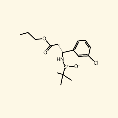 CCCOC(=O)C[C@@H](N[S+]([O-])C(C)(C)C)c1cccc(Cl)c1